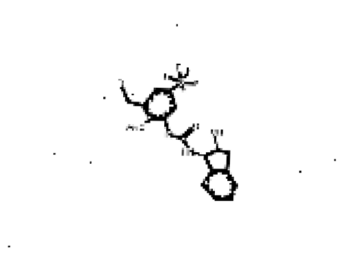 COc1c(CO)cc(S(F)(F)(F)(F)F)cc1NC(=O)N[C@@H]1c2ccccc2C[C@@H]1O